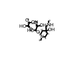 CNCC1(O)CCN(C)CC1.O=C(O)C(=O)O.O=C(O)C(=O)O